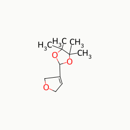 CC1(C)OC(C2=CCOC2)OC1(C)C